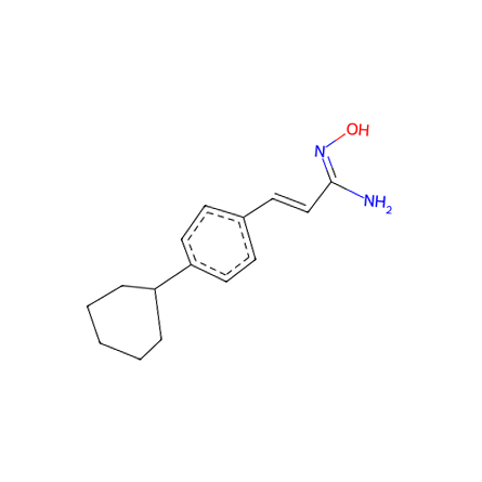 NC(/C=C/c1ccc(C2CCCCC2)cc1)=NO